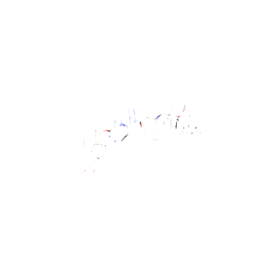 COC(=O)C(C)(C)/C=C(\C)CC(=O)Nc1ccn(C2O[C@H](CO)CC2(F)F)c(=O)n1